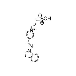 O=S(=O)(O)CCC[n+]1ccc(C=NN2CCc3ccccc32)cc1